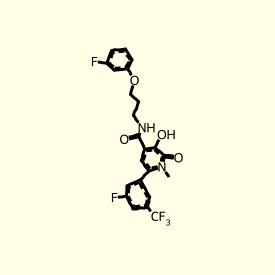 Cn1c(-c2cc(F)cc(C(F)(F)F)c2)cc(C(=O)NCCCOc2cccc(F)c2)c(O)c1=O